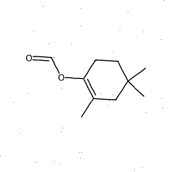 CC1=C(O[C]=O)CCC(C)(C)C1